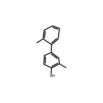 [CH2]CCc1ccc(-c2ccccc2C)cc1C